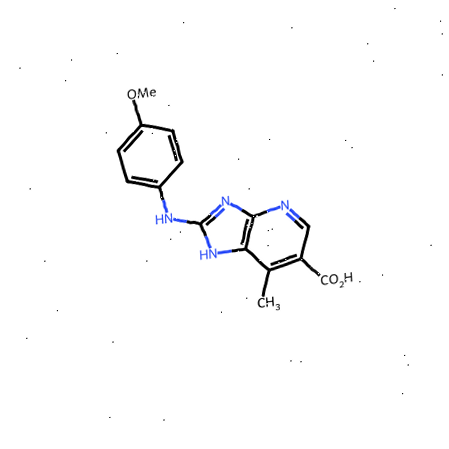 COc1ccc(Nc2nc3ncc(C(=O)O)c(C)c3[nH]2)cc1